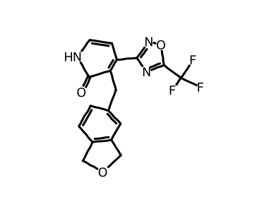 O=c1[nH]ccc(-c2noc(C(F)(F)F)n2)c1Cc1ccc2c(c1)COC2